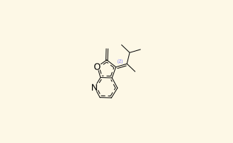 C=c1oc2ncccc2/c1=C(\C)C(C)C